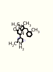 C=C/C=C(\C=C/N)c1cc(=O)n2c(n1)c(Cc1ccccc1C)c(C)n2C